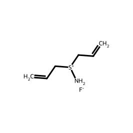 C=CC[S+](N)CC=C.[F-]